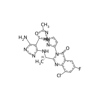 Cc1nnc(-c2c(N)ncnc2N[C@@H](C)c2nc3c(Cl)cc(F)cc3c(=O)n2-c2cc[nH]n2)o1